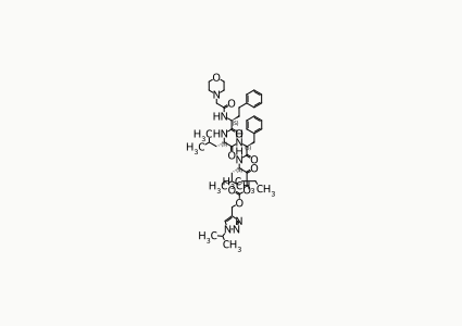 CCC(C)(OC(=O)OCc1cn(C(C)C)nn1)C(=O)[C@H](CC(C)C)NC(=O)[C@H](Cc1ccccc1)NC(=O)[C@H](CC(C)C)NC(=O)[C@H](CCc1ccccc1)NC(=O)CN1CCOCC1